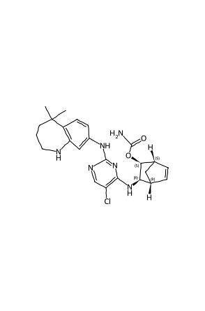 CC1(C)CCCNc2cc(Nc3ncc(Cl)c(N[C@H]4[C@@H](OC(N)=O)[C@@H]5C=C[C@H]4C5)n3)ccc21